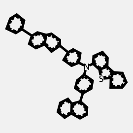 c1ccc(-c2ccc3cc(-c4ccc(N(c5ccc(-c6cccc7ccccc67)cc5)c5cccc6c5sc5ccccc56)cc4)ccc3c2)cc1